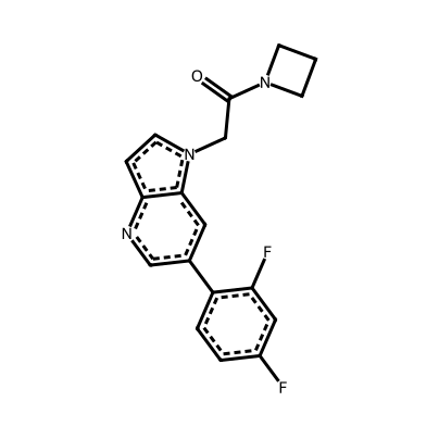 O=C(Cn1ccc2ncc(-c3ccc(F)cc3F)cc21)N1CCC1